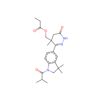 CCC(=O)OCC1(C)CC(=O)NN=C1c1ccc2c(c1)C(C)(C)CN2C(=O)C(C)C